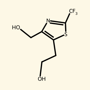 OCCc1sc(C(F)(F)F)nc1CO